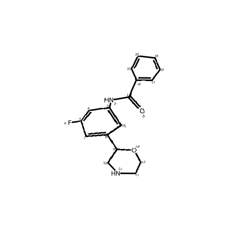 O=C(Nc1cc(F)cc(C2CNCCO2)c1)c1ccccc1